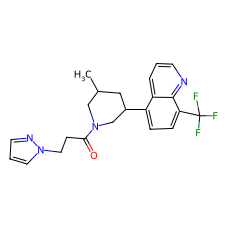 CC1CC(c2ccc(C(F)(F)F)c3ncccc23)CN(C(=O)CCn2cccn2)C1